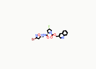 O=C(NC[C@@H]1CC(Br)=NO1)[C@@H]1C[C@H](F)CN1C(=O)OCc1cnc2ccccc2c1